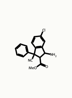 COC(=O)C1C(N)c2cc(Cl)ccc2C1(C#N)c1ccccc1